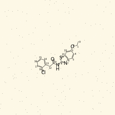 CCOc1ccc2nc(NC(=O)Cc3ccccc3Cl)sc2c1